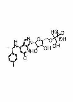 Cc1ccc([C@H](C)Nc2cc(Cl)nc3c2cnn3[C@@H]2O[C@H](COC(C)(CO)P(=O)(O)O)[C@@H](O)[C@H]2O)cc1